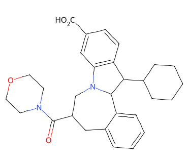 O=C(O)c1ccc2c(c1)N1CC(C(=O)N3CCOCC3)Cc3ccccc3C1C2C1CCCCC1